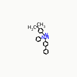 C=C(C)c1ccc(-c2nnc(-c3ccc(-c4ccccc4)cc3)n2-c2ccccc2)cc1